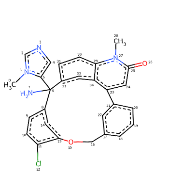 Cn1cncc1C1(N)c2ccc(Cl)c(c2)OCc2cccc(c2)-c2cc(=O)n(C)c3ccc1cc23